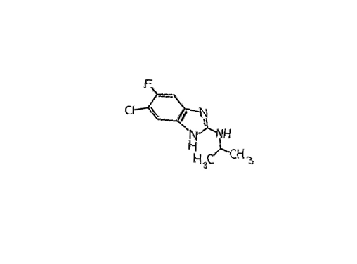 CC(C)Nc1nc2cc(F)c(Cl)cc2[nH]1